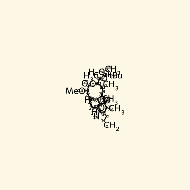 C=CC[C@H]1[C@@H]2O[C@@]34C(C)=C[C@@H](C)[C@@H]([C@@H](C)O[Si](C)(C)C(C)(C)C)OC(=O)[C@@H](OC)C[C@H]3C=C[C@@H]2[C@H]4C(=O)[C@@H]1C